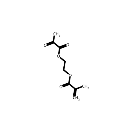 C=C(C)C(=O)OCCOC(=O)C(C)=O